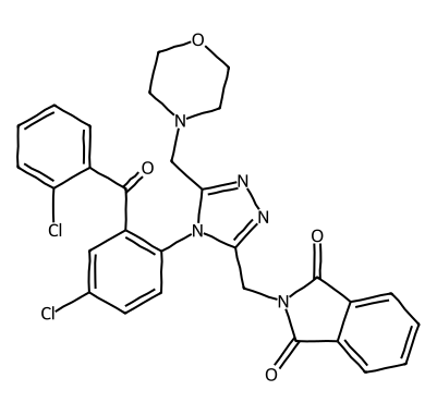 O=C(c1ccccc1Cl)c1cc(Cl)ccc1-n1c(CN2CCOCC2)nnc1CN1C(=O)c2ccccc2C1=O